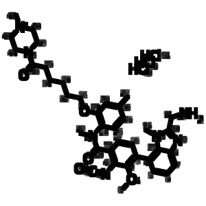 COc1c(-c2cccc3nc(CN)n(C)c23)ccc(C(=O)N(C)c2ccc(C)cc2OCCCCCC(=O)N2CCN(C)CC2)c1N=C=O.Cl.Cl.Cl